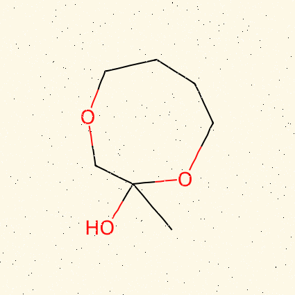 CC1(O)COCCCCO1